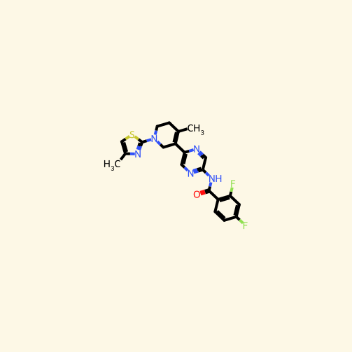 CC1=C(c2cnc(NC(=O)c3ccc(F)cc3F)cn2)CN(c2nc(C)cs2)CC1